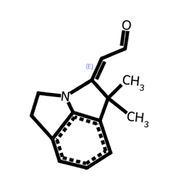 CC1(C)/C(=C\C=O)N2CCc3cccc1c32